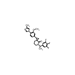 COc1cc(C2CC23CCCN(C(C)c2cc(F)c(F)c(F)c2)C3=O)ccc1-n1cnc(C)c1